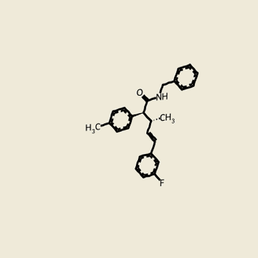 Cc1ccc([C@@H](C(=O)NCc2ccccc2)[C@H](C)/C=C/c2cccc(F)c2)cc1